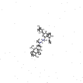 C=N/C(=C\C=C(/C)c1cc(-c2cnn(C)c2)cn2ncc(C#N)c12)N1CCN(C(=O)c2c(C)noc2CCC)CC1